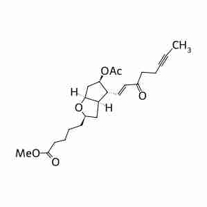 CC#CCCC(=O)/C=C/[C@@H]1[C@H]2C[C@@H](CCCCC(=O)OC)O[C@H]2C[C@H]1OC(C)=O